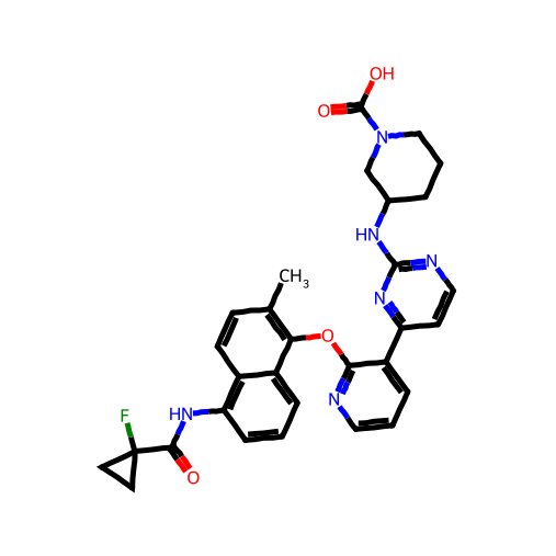 Cc1ccc2c(NC(=O)C3(F)CC3)cccc2c1Oc1ncccc1-c1ccnc(NC2CCCN(C(=O)O)C2)n1